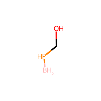 BPCO